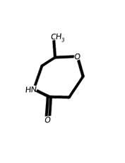 CC1CNC(=O)CCO1